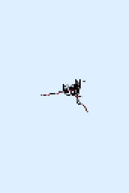 CCCCCCCCCCCCCCCCCCCC(=O)OC[C@H](COP(=O)(O)OCC[N+](C)(C)C)OC(=O)CCCCCCCCCCCCCCCCC